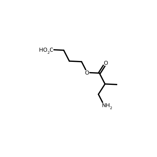 CC(CN)C(=O)OCCCC(=O)O